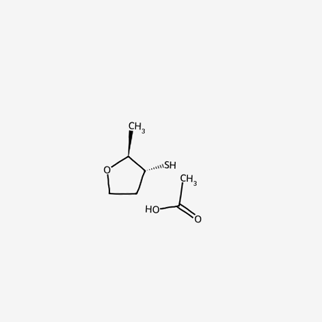 CC(=O)O.C[C@@H]1OCC[C@H]1S